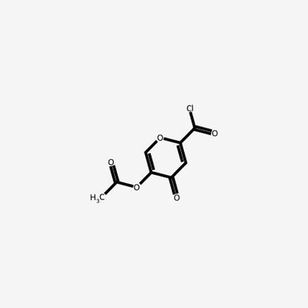 CC(=O)Oc1coc(C(=O)Cl)cc1=O